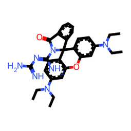 CCN(CC)c1ccc2c(c1)Oc1cc(N(CC)CC)ccc1C21c2ccccc2C(=O)N1/C(N)=N/C(=N)N